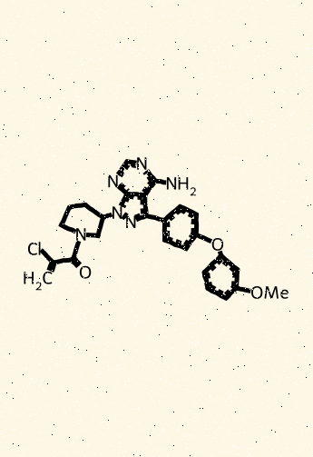 C=C(Cl)C(=O)N1CCCC(n2nc(-c3ccc(Oc4cccc(OC)c4)cc3)c3c(N)ncnc32)C1